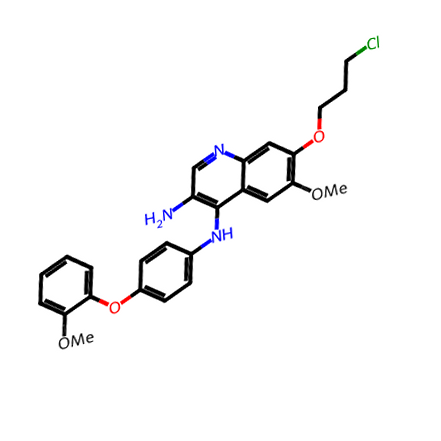 COc1cc2c(Nc3ccc(Oc4ccccc4OC)cc3)c(N)cnc2cc1OCCCCl